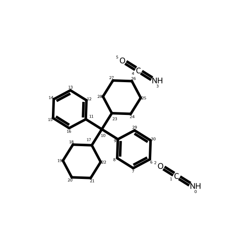 N=C=O.N=C=O.c1ccc(C(c2ccccc2)(C2CCCCC2)C2CCCCC2)cc1